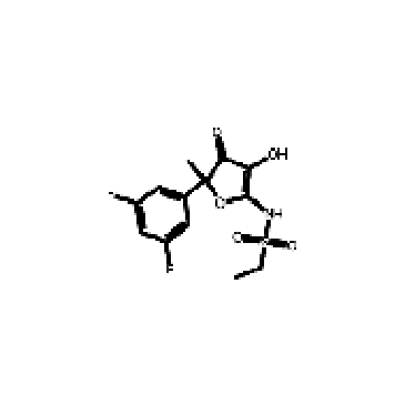 CCS(=O)(=O)NC1=C(O)C(=O)C(C)(c2cc(F)cc(F)c2)O1